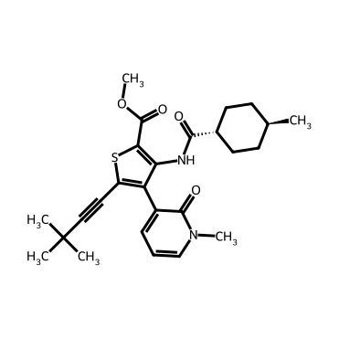 COC(=O)c1sc(C#CC(C)(C)C)c(-c2cccn(C)c2=O)c1NC(=O)[C@H]1CC[C@H](C)CC1